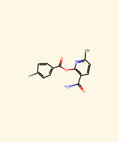 N#Cc1ccc(C(N)=O)c(OC(=O)c2ccc(F)cc2)n1